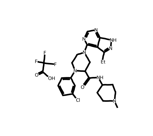 CCc1n[nH]c2ncnc(N3CCN(c4cccc(Cl)c4)C(C(=O)NC4CCN(C)CC4)C3)c12.O=C(O)C(F)(F)F